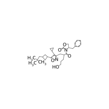 CC(C)(C)CC1CC(c2onc(CC(CCCO)C(=O)N3C(=O)OCC3Cc3ccccc3)c2C2CC2)C1